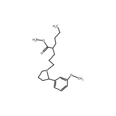 BOC(=O)C(CCCC)CCCN1CCCC1c1cccc(OC)c1